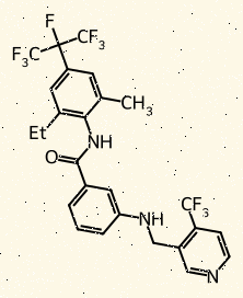 CCc1cc(C(F)(C(F)(F)F)C(F)(F)F)cc(C)c1NC(=O)c1cccc(NCc2cnccc2C(F)(F)F)c1